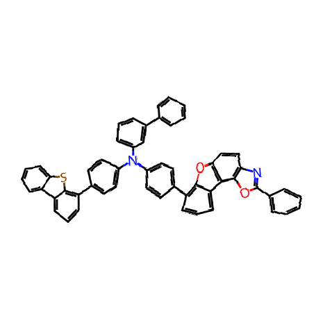 c1ccc(-c2cccc(N(c3ccc(-c4cccc5c4oc4ccc6nc(-c7ccccc7)oc6c45)cc3)c3ccc(-c4cccc5c4sc4ccccc45)cc3)c2)cc1